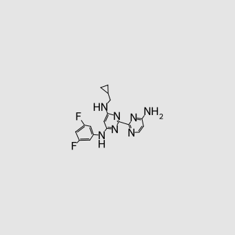 Nc1ccnc(-c2nc(NCC3CC3)cc(Nc3cc(F)cc(F)c3)n2)n1